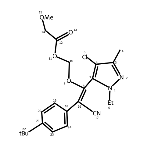 CCn1nc(C)c(Cl)c1/C(OCOC(=O)COC)=C(\C#N)c1ccc(C(C)(C)C)cc1